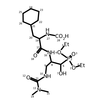 CCOP(=O)(OCC)C(O)C(CNC(=O)N(C)C)NC(=O)C(CC1CCCCC1)NC(=O)O